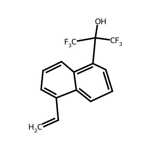 C=Cc1cccc2c(C(O)(C(F)(F)F)C(F)(F)F)cccc12